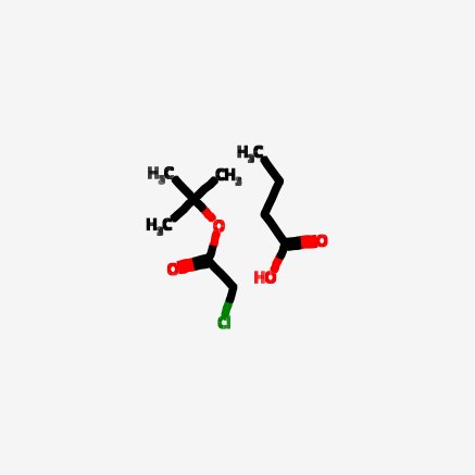 CC(C)(C)OC(=O)CCl.CCCC(=O)O